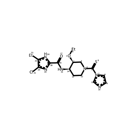 CCO[C@H]1CN(C(=S)n2ccnc2)CC[C@H]1NC(=O)c1nc(Cl)c(CC)[nH]1